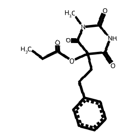 CCC(=O)OC1(CCc2ccccc2)C(=O)NC(=O)N(C)C1=O